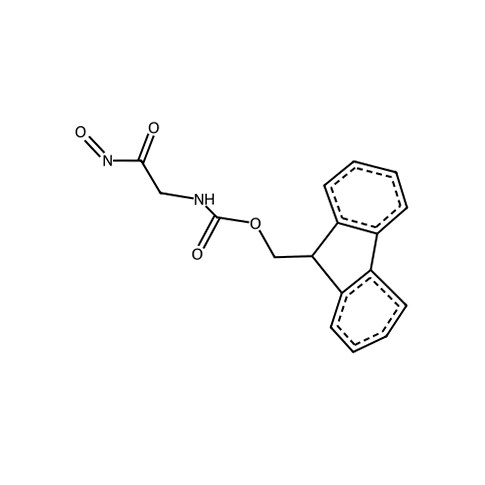 O=NC(=O)CNC(=O)OCC1c2ccccc2-c2ccccc21